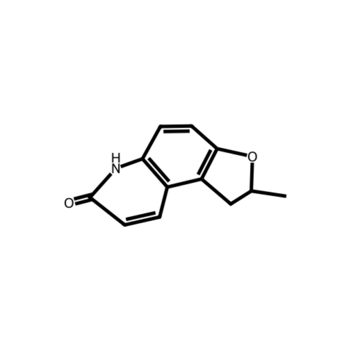 CC1Cc2c(ccc3[nH]c(=O)ccc23)O1